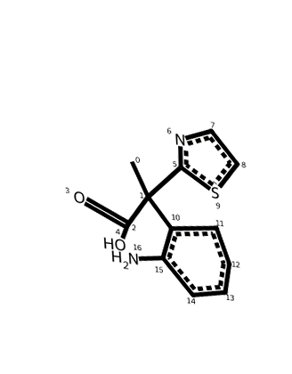 CC(C(=O)O)(c1nccs1)c1ccccc1N